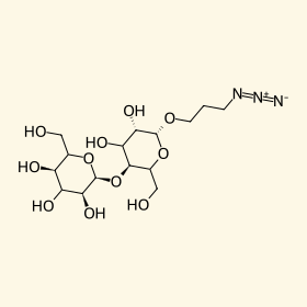 [N-]=[N+]=NCCCO[C@@H]1OC(CO)[C@@H](O[C@@H]2OC(CO)[C@H](O)C(O)[C@@H]2O)C(O)[C@@H]1O